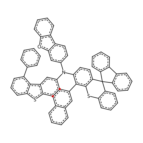 c1ccc(-c2cccc3sc4ccc(N(c5ccc6c(c5)oc5ccccc56)c5ccc6c(c5-c5ccc7ccccc7c5)Sc5ccccc5C65c6ccccc6-c6ccccc65)cc4c23)cc1